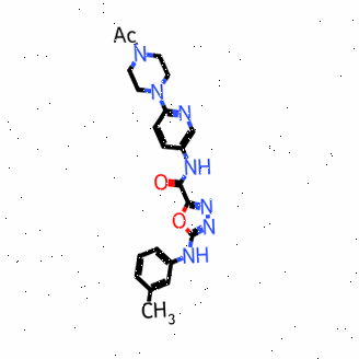 CC(=O)N1CCN(c2ccc(NC(=O)c3nnc(Nc4cccc(C)c4)o3)cn2)CC1